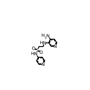 Nc1ccncc1NCCS(=O)(=O)Nc1ccncc1